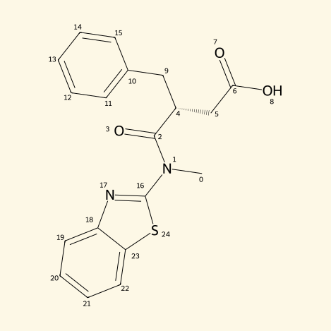 CN(C(=O)[C@@H](CC(=O)O)Cc1ccccc1)c1nc2ccccc2s1